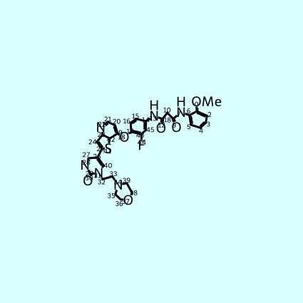 COc1ccccc1NC(=O)CC(=O)Nc1ccc(OC2=CC=NC3C=C(c4cnc(=O)n(CCN5CCOCC5)c4)SC23)c(F)c1